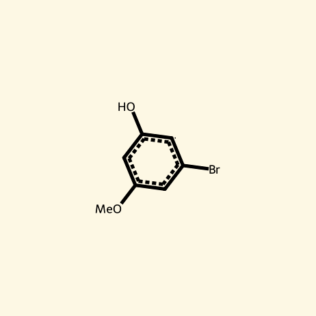 COc1cc(O)[c]c(Br)c1